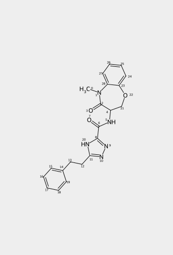 CN1C(=O)C(NC(=O)c2nnc(CCc3ccccc3)[nH]2)COc2ccccc21